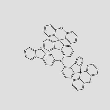 c1ccc2c(c1)Oc1ccccc1C21c2ccccc2-c2c(N(c3ccc4c(c3)oc3ccccc34)c3cccc4c3-c3ccccc3C43c4ccccc4Oc4ccccc43)cccc21